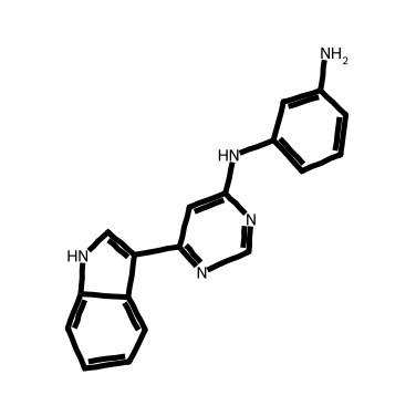 Nc1cccc(Nc2cc(-c3c[nH]c4ccccc34)ncn2)c1